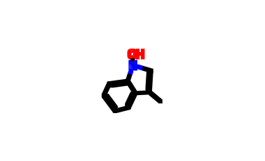 Cc1cn(O)c2ccccc12